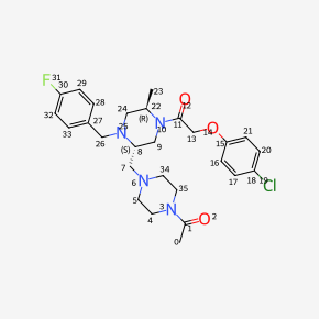 CC(=O)N1CCN(C[C@H]2CN(C(=O)COc3ccc(Cl)cc3)[C@H](C)CN2Cc2ccc(F)cc2)CC1